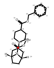 CC(C)(C)OC(=O)N1[C@@H]2CC[C@H]1CC(N1CCC(C(=O)OCc3ccccc3)CC1)C2